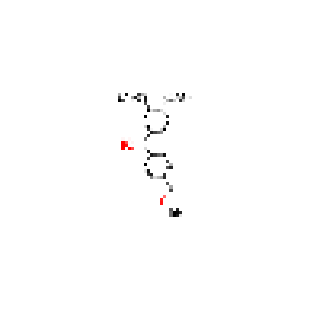 CCCCOCc1ccc(C(O)c2ccc(OC)c(OC)c2)cc1